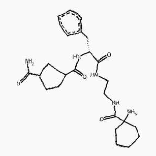 NC(=O)C1CCC(C(=O)N[C@H](Cc2ccccc2)C(=O)NCCNC(=O)C2(N)CCCCC2)C1